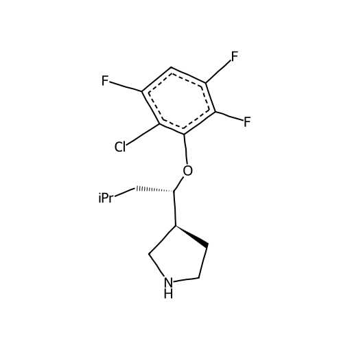 CC(C)C[C@H](Oc1c(F)c(F)cc(F)c1Cl)[C@H]1CCNC1